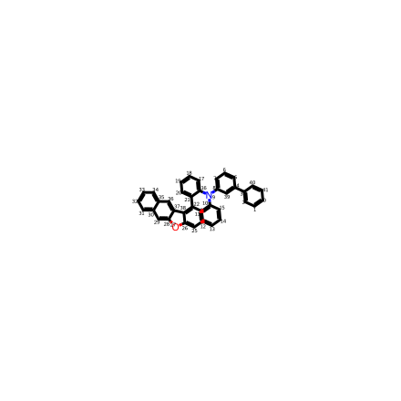 c1ccc(-c2cccc(N(c3ccccc3)c3ccccc3-c3cccc4oc5cc6ccccc6cc5c34)c2)cc1